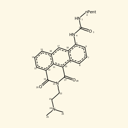 CCCCCNC(=O)Nc1cccc2c3c4c(cccc4cc12)C(=O)N(CCN(C)C)C3=O